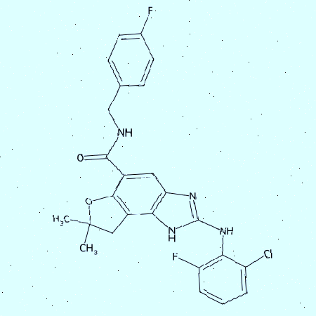 CC1(C)Cc2c(c(C(=O)NCc3ccc(F)cc3)cc3nc(Nc4c(F)cccc4Cl)[nH]c23)O1